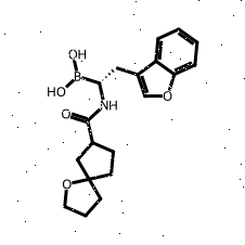 O=C(N[C@@H](Cc1coc2ccccc12)B(O)O)C1CCC2(CCCO2)C1